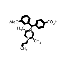 C=CCN1C[C@H](C)N([C@H](c2ccc(C(=O)O)cc2)c2cccc(OC)c2)C[C@H]1C